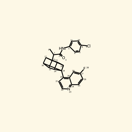 CC(C(=O)Nc1ccc(Cl)cc1)C12C3C4C1C1C2C3C41c1ccnc2ccc(F)cc12